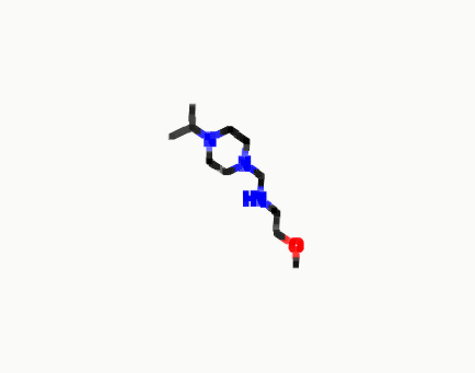 COCCNCN1CCN(C(C)C)CC1